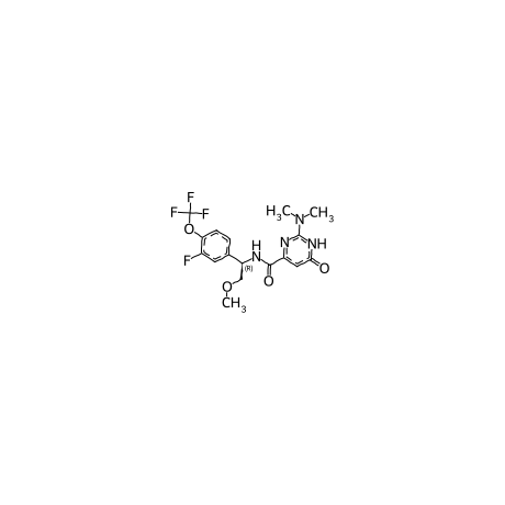 COC[C@H](NC(=O)c1cc(=O)[nH]c(N(C)C)n1)c1ccc(OC(F)(F)F)c(F)c1